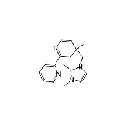 CC1N(C)C=CN1CC1(C)C=CN=C(c2ccccn2)C1